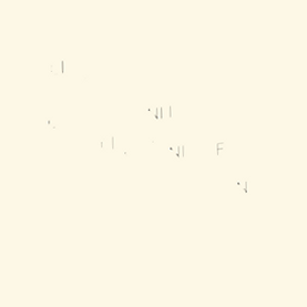 Fc1ncccc1CNC(=S)Nc1ccc(Cl)c(Cl)c1Cl